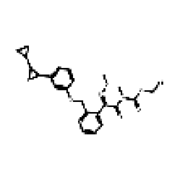 CON=C(C(=O)N(C)C(=O)OCCl)c1ccccc1COc1cccc(C2CC2C2CC2)c1